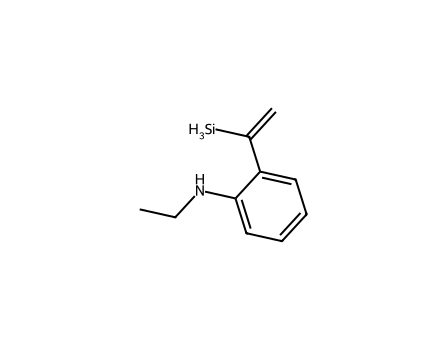 C=C([SiH3])c1ccccc1NCC